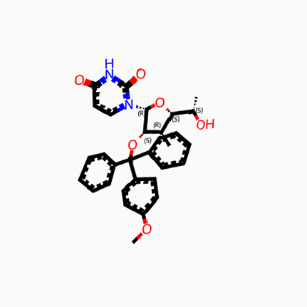 COc1ccc(C(O[C@H]2[C@H](C)[C@@H]([C@H](C)O)O[C@H]2n2ccc(=O)[nH]c2=O)(c2ccccc2)c2ccccc2)cc1